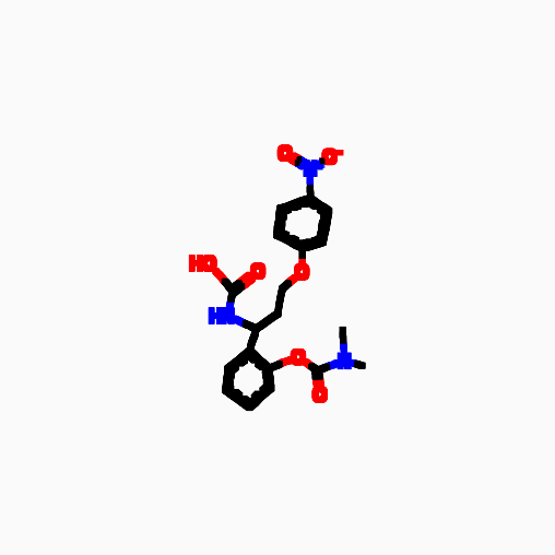 CN(C)C(=O)Oc1ccccc1C(CCOc1ccc([N+](=O)[O-])cc1)NC(=O)O